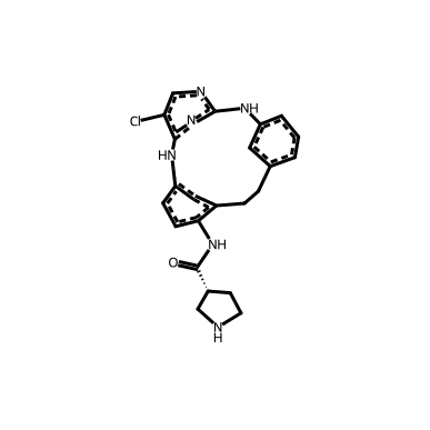 O=C(Nc1ccc2cc1CCc1cccc(c1)Nc1ncc(Cl)c(n1)N2)[C@@H]1CCNC1